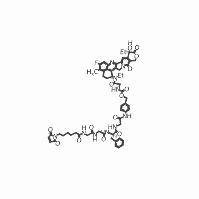 CCN(C(=O)CNC(=O)OCc1ccc(NC(=O)CNC(=O)[C@H](Cc2ccccc2)NC(=O)CNC(=O)CNC(=O)CCCCCN2C(=O)C=CC2=O)cc1)[C@H]1CCc2c(C)c(F)cc3nc4c(c1c23)Cn1c-4cc2c(c1=O)COC(=O)[C@]2(O)CC